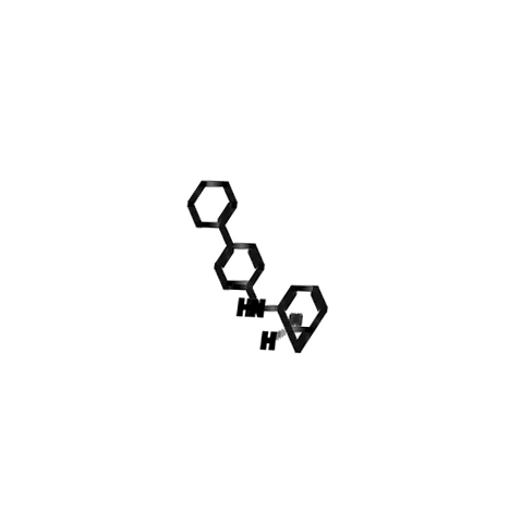 C1=CC2=C[C@H]2C(Nc2ccc(C3=CCCCC3)cc2)=C1